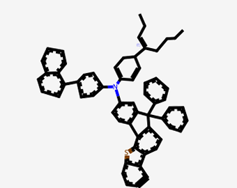 CC/C=C(\CCCC)C1C=CC(N(c2ccc(-c3cccc4ccccc34)cc2)c2ccc3c(c2)C(c2ccccc2)(c2ccccc2)c2ccc4c(sc5ccc#cc54)c2-3)=CC1